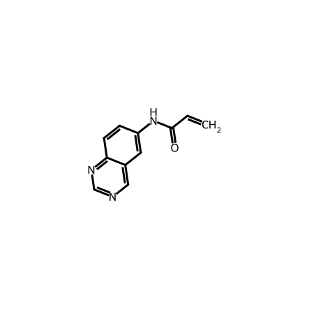 C=CC(=O)Nc1ccc2ncncc2c1